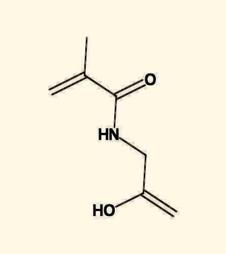 C=C(O)CNC(=O)C(=C)C